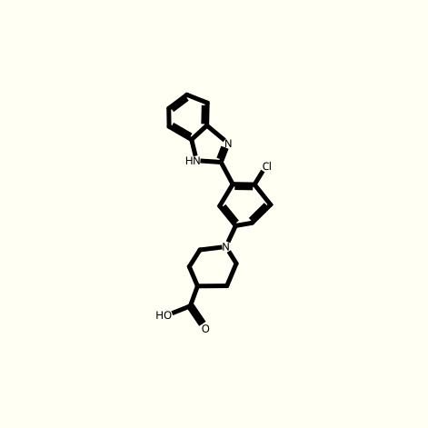 O=C(O)C1CCN(c2ccc(Cl)c(-c3nc4ccccc4[nH]3)c2)CC1